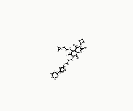 O=c1c2[nH]c(=O)n(C3CCC3)c(=O)c2n(CCCC2CC2)c(=O)n1CCCCc1noc(-c2ccccn2)n1